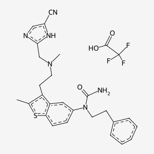 Cc1sc2ccc(N(CCc3ccccc3)C(N)=O)cc2c1CCN(C)Cc1ncc(C#N)[nH]1.O=C(O)C(F)(F)F